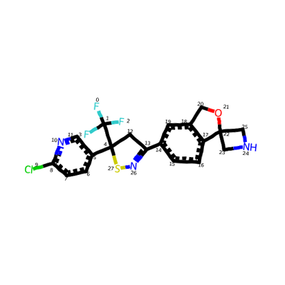 FC(F)(F)C1(c2ccc(Cl)nc2)CC(c2ccc3c(c2)COC32CNC2)=NS1